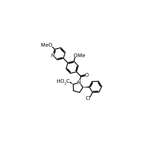 COc1ccc(-c2ccc(C(=O)N3[C@@H](c4ccccc4Cl)CC[C@H]3C(=O)O)cc2OC)cn1